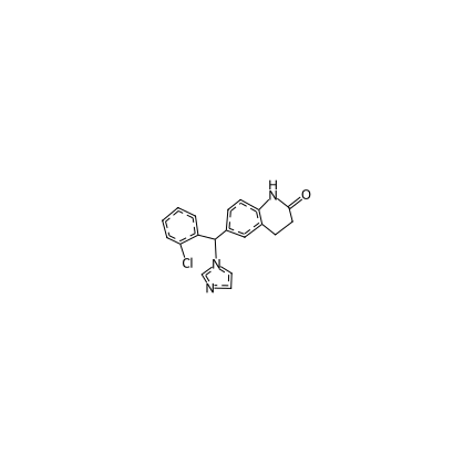 O=C1CCc2cc(C(c3ccccc3Cl)n3ccnc3)ccc2N1